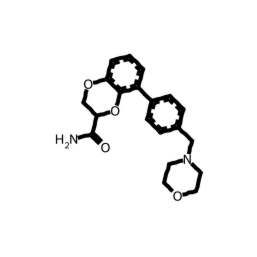 NC(=O)C1COc2cccc(-c3ccc(CN4CCOCC4)cc3)c2O1